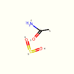 CC(N)=O.O=S=O